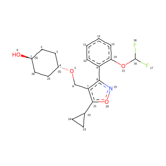 O[C@H]1[CH]C[C@H](OCc2c(-c3ccccc3OC(F)F)noc2C2CC2)CC1